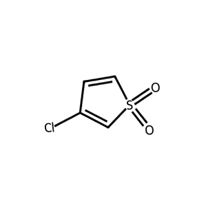 O=S1(=O)C=CC(Cl)=C1